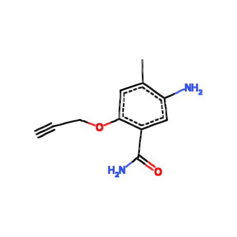 C#CCOc1cc(C)c(N)cc1C(N)=O